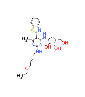 CCOCCCCNc1nc(C)c(-c2nc3ccccc3s2)c(N[C@@H]2C[C@H](CO)[C@@H](O)[C@H]2O)n1